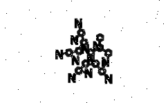 N#Cc1ccc(-c2ccc3c(c2)c2cc(-c4ccc(C#N)cc4C#N)ccc2n3-c2cc(-c3cc(-c4ccccc4)cc(-c4ccccc4)n3)cc(-n3c4ccc(-c5ccc(C#N)cc5C#N)cc4c4cc(-c5ccc(C#N)cc5C#N)ccc43)c2)c(C#N)c1